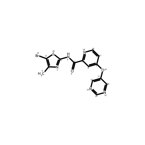 Cc1nc(NC(=O)c2cc(Oc3cncnc3)ccn2)sc1Br